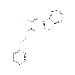 N#CC(=Cc1c[nH]c2ccccc12)C(=O)NCCc1ccccc1